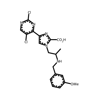 COc1cccc(CNC(C)Cn2cc(-c3nc(Cl)ncc3Cl)nc2C(=O)O)c1